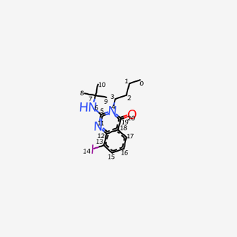 CCCCn1c(NC(C)(C)C)nc2c(I)cccc2c1=O